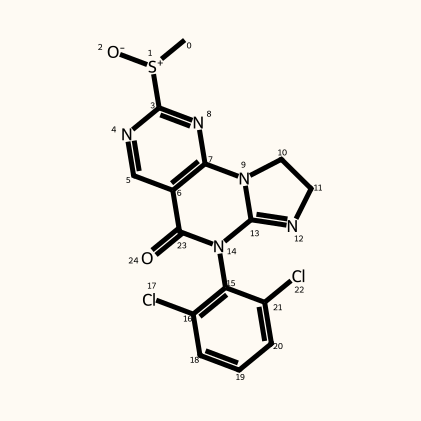 C[S+]([O-])c1ncc2c(n1)N1CCN=C1N(c1c(Cl)cccc1Cl)C2=O